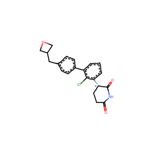 O=C1CC[C@H](c2cccc(-c3ccc(CC4COC4)cc3)c2Cl)C(=O)N1